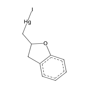 [I][Hg][CH2]C1Cc2ccccc2O1